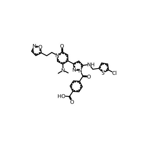 CN(C)c1cn(CCc2ccno2)c(=O)cc1-c1cc(NCc2ccc(Cl)s2)n(C(=O)c2ccc(C(=O)O)cc2)n1